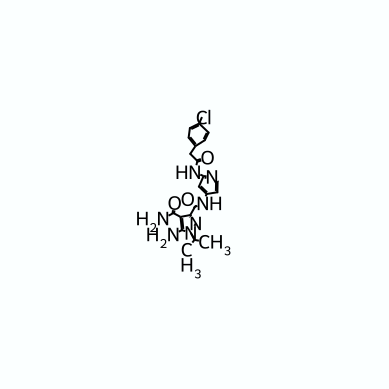 CC(C)n1nc(C(=O)Nc2ccnc(NC(=O)Cc3ccc(Cl)cc3)c2)c(C(N)=O)c1N